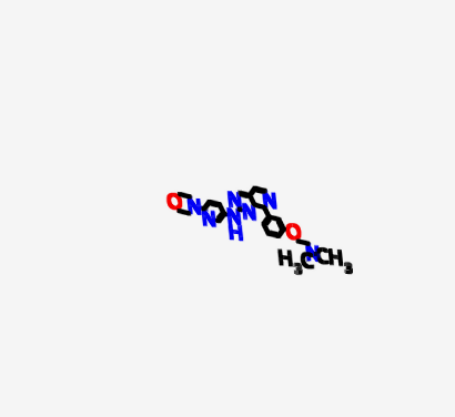 CN(C)CCOc1cccc(-c2nccc3cnc(Nc4ccc(N5CCOCC5)nc4)nc23)c1